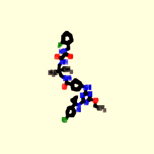 CC(C)(CNC(=O)C(=O)NCc1ccccc1F)CNC(=O)c1ccc(Nc2nc(NC3(c4ccc(Cl)cc4)CC3)nc(OCC(F)(F)F)n2)cc1